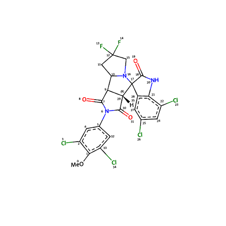 COc1c(Cl)cc(N2C(=O)C3C4CC(F)(F)CN4C4(C(=O)Nc5c(Cl)cc(Cl)cc54)[C@@H]3C2=O)cc1Cl